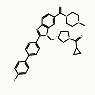 CN1CCN(C(=O)c2ccc3nc(-c4ccc(-c5ccc(F)cc5)cc4)n(C[C@@H]4CCN(C(=O)C5CC5)C4)c3c2)CC1